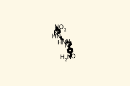 NC(=O)c1ccc(-c2ccnc(NCCCNc3ccc([N+](=O)[O-])cn3)n2)cc1